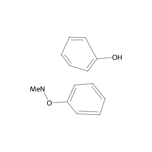 CNOc1ccccc1.Oc1ccccc1